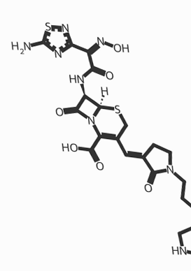 Nc1nc(/C(=N/O)C(=O)N[C@@H]2C(=O)N3C(C(=O)O)=C(/C=C4\CCN(CCNC5CCNC5)C4=O)CS[C@H]23)ns1